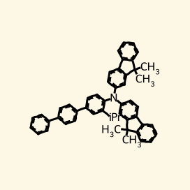 CC(C)c1cc(-c2ccc(-c3ccccc3)cc2)ccc1N(c1ccc2c(c1)C(C)(C)c1ccccc1-2)c1ccc2c(c1)C(C)(C)c1ccccc1-2